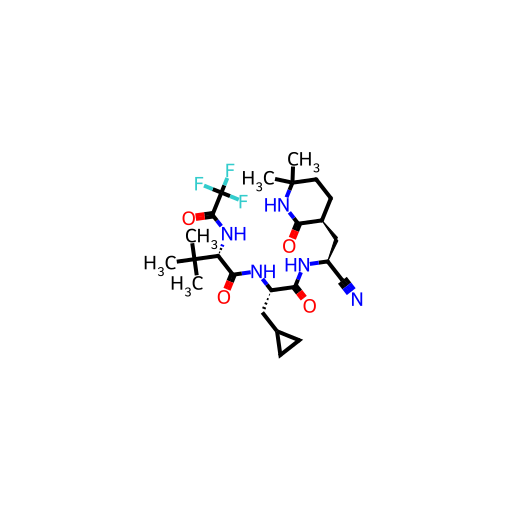 CC1(C)CC[C@@H](C[C@@H](C#N)NC(=O)[C@H](CC2CC2)NC(=O)[C@@H](NC(=O)C(F)(F)F)C(C)(C)C)C(=O)N1